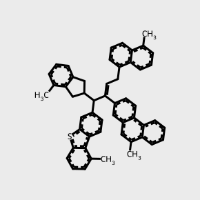 Cc1cccc2c1CC(C(/C(=C/Cc1cccc3c(C)cccc13)c1ccc3c(c1)cc(C)c1ccccc13)c1ccc3c(c1)sc1cccc(C)c13)C2